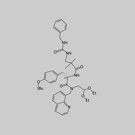 CCOC(CN(Cc1cccc2cccnc12)C(=O)[C@H](Cc1ccc(OC(C)(C)C)cc1)NC(=O)C(C)(C)CNC(=O)NCc1ccccc1)OCC